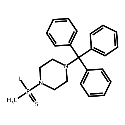 CP(=S)(I)N1CCN(C(c2ccccc2)(c2ccccc2)c2ccccc2)CC1